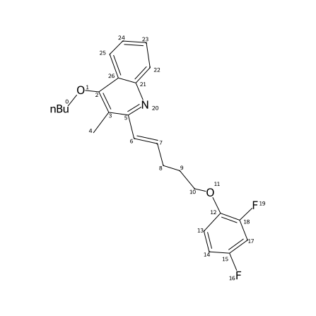 CCCCOc1c(C)c(C=CCCCOc2ccc(F)cc2F)nc2ccccc12